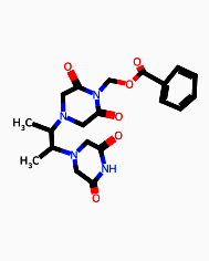 CC(C(C)N1CC(=O)N(COC(=O)c2ccccc2)C(=O)C1)N1CC(=O)NC(=O)C1